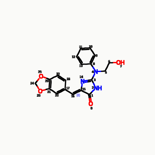 O=C1NC(N(CCO)c2ccccc2)=N/C1=C\c1ccc2c(c1)OCO2